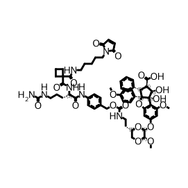 COc1ccc([C@@]23Oc4cc(O[C@@H]5O[C@@H](CCNC(=O)OCc6ccc(NC(=O)[C@H](CCCNC(N)=O)NC(=O)C7(C(=O)NCCCCCN8C(=O)C=CC8=O)CCC7)cc6)CO[C@H]5OC)cc(OC)c4[C@]2(O)[C@H](O)[C@H](C(=O)O)[C@H]3c2ccccc2)cc1